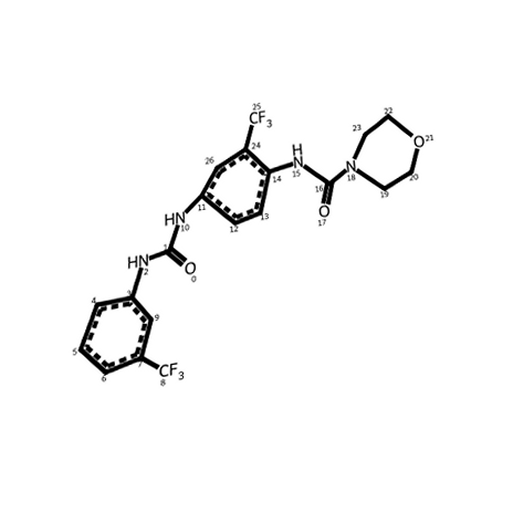 O=C(Nc1cccc(C(F)(F)F)c1)Nc1ccc(NC(=O)N2CCOCC2)c(C(F)(F)F)c1